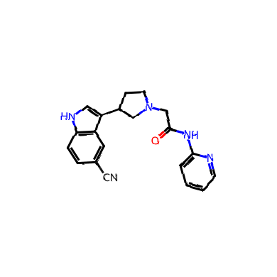 N#Cc1ccc2[nH]cc(C3CCN(CC(=O)Nc4ccccn4)C3)c2c1